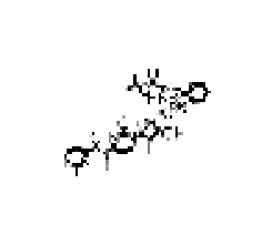 Cc1nccc(C(=O)Nc2ccn([C@@H]3O[C@H](CO[P@@](=O)(N[C@@H](C)C(=O)OC(C)C)Oc4ccccc4)[C@@H](O)[C@H]3F)c(=O)n2)n1